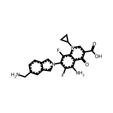 NCc1ccc2cn(-c3c(F)c(N)c4c(=O)c(C(=O)O)cn(C5CC5)c4c3F)cc2c1